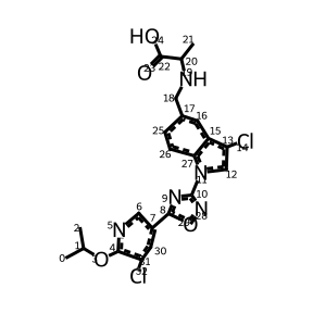 CC(C)Oc1ncc(-c2nc(-n3cc(Cl)c4cc(CNC(C)C(=O)O)ccc43)no2)cc1Cl